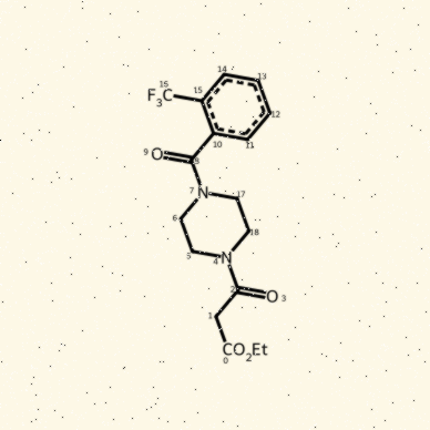 CCOC(=O)CC(=O)N1CCN(C(=O)c2ccccc2C(F)(F)F)CC1